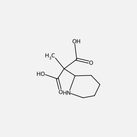 CC(C(=O)O)(C(=O)O)C1CCCCN1